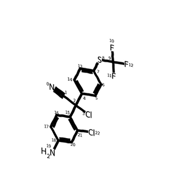 N#CC(Cl)(c1ccc(SC(F)(F)F)cc1)c1ccc(N)cc1Cl